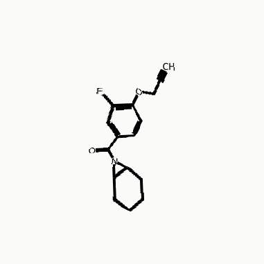 C#CCOc1ccc(C(=O)N2C3CCCCC32)cc1F